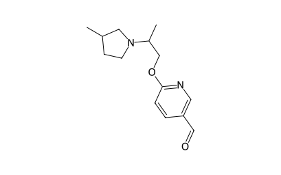 CC1CCN(C(C)COc2ccc(C=O)cn2)C1